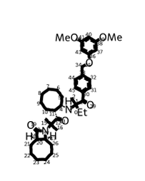 CCC(C)(N[C@H]1CCCCCC[C@H]1C(=O)C(C)(C)N1C(=O)[C@@H]2CCCCCC[C@@H]21)C(=O)c1ccc(COc2cc(OC)cc(OC)c2)cc1